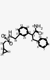 NC(=O)C(Cc1ccccc1)c1cccc(CNS(=O)(=O)CC2CC2)c1